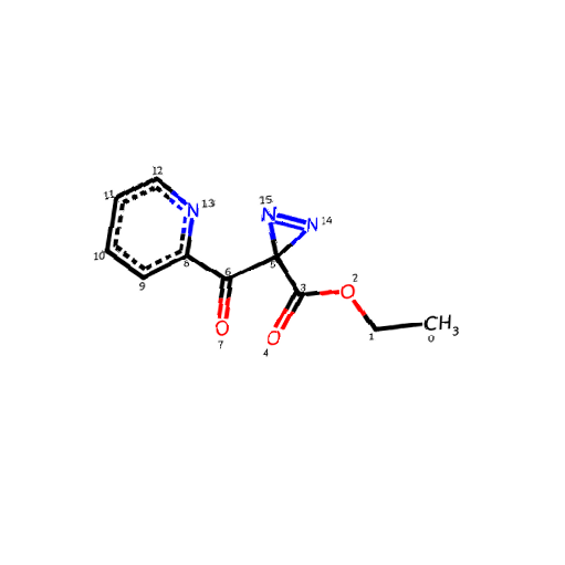 CCOC(=O)C1(C(=O)c2ccccn2)N=N1